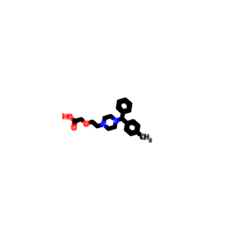 Cc1ccc(C(c2ccccc2)N2CCN(CCOCC(=O)O)CC2)cc1